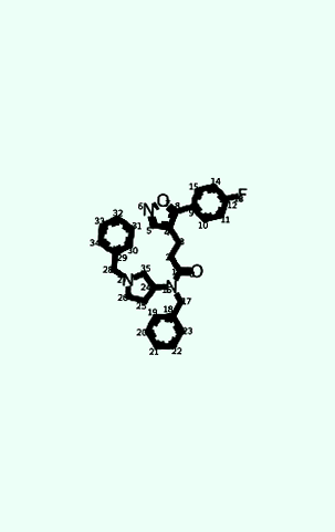 O=C(CCc1cnoc1-c1ccc(F)cc1)N(Cc1ccccc1)C1CCN(Cc2ccccc2)C1